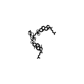 CC(C)CCC[C@H](C)[C@@H]1CC[C@@H]2C3CC=C4CC(OC(=O)CN(CC(=O)OC(C)(C)C)C(=O)CCCC(=O)O[C@@H]5CC[C@]6(C)C(=CCC7C6CC[C@]6(C)C7CC[C@H]6[C@@H](C)CCCC(C)C)C5)CC[C@@]4(C)[C@@H]3CC[C@]21C